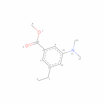 CCc1cc(C(=O)OC)cc(N(C)C)c1